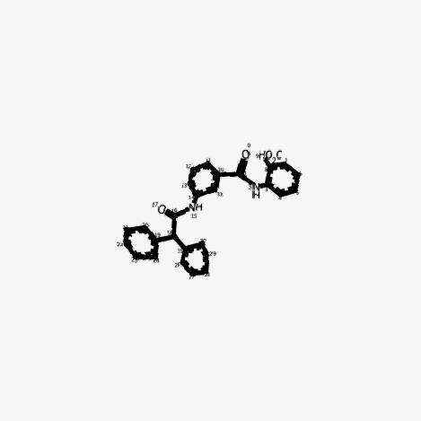 O=C(Nc1ccccc1C(=O)O)c1cccc(NC(=O)C(c2ccccc2)c2ccccc2)c1